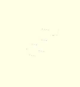 CCCC1C[C@H](O)CCC1C1CCC2CCCC2C1